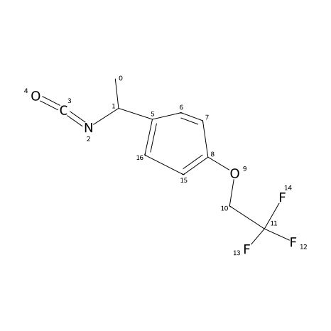 CC(N=C=O)c1ccc(OCC(F)(F)F)cc1